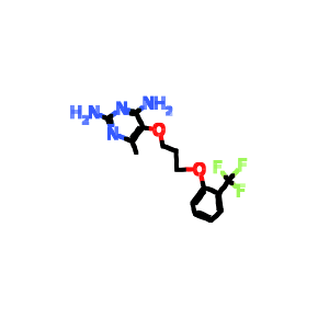 Cc1nc(N)nc(N)c1OCCCOc1ccccc1C(F)(F)F